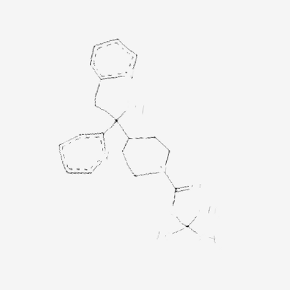 CC(C)(C)OC(=O)N1CCC(C(O)(Cc2ccccn2)c2ccccn2)CC1